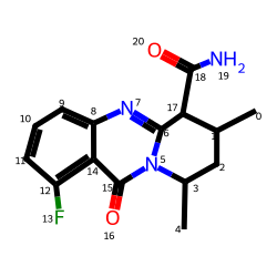 CC1CC(C)n2c(nc3cccc(F)c3c2=O)C1C(N)=O